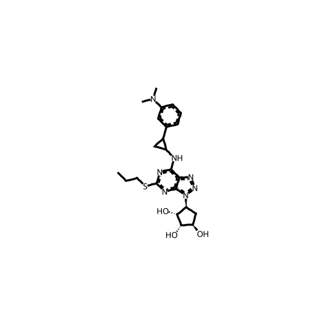 CCCSc1nc(NC2CC2c2cccc(N(C)C)c2)c2nnn([C@H]3C[C@@H](O)[C@H](O)[C@@H]3O)c2n1